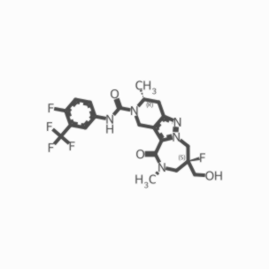 C[C@@H]1Cc2nn3c(c2CN1C(=O)Nc1ccc(F)c(C(F)(F)F)c1)C(=O)N(C)C[C@@](F)(CO)C3